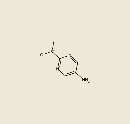 C[S+]([O-])c1ncc(N)cn1